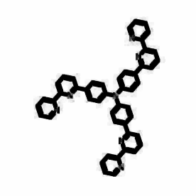 c1ccc(-c2cccc(-c3ccc(N(c4ccc(-c5cccc(-c6ccccn6)n5)cc4)c4ccc(-c5cccc(-c6ccccn6)n5)cc4)cc3)n2)nc1